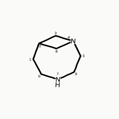 C1CC2CN(CCN1)C2